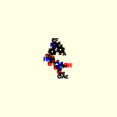 CC(=O)OC(C)ON=[N+]([O-])N(CCO)CCOC(=O)NS(=O)(=O)c1ccc(-n2nc(C(F)(F)F)cc2-c2ccc(C)cc2)cc1